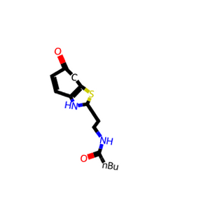 CCCCC(=O)NCCC1NC2=C(CC(=O)C=C2)S1